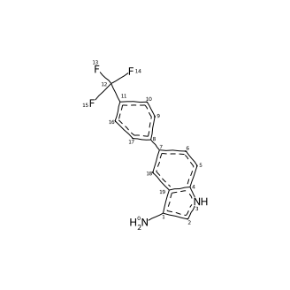 Nc1c[nH]c2ccc(-c3ccc(C(F)(F)F)cc3)cc12